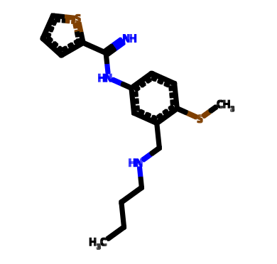 CCCCNCc1cc(NC(=N)c2cccs2)ccc1SC